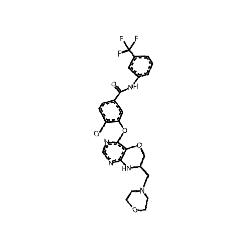 O=C(Nc1cccc(C(F)(F)F)c1)c1ccc(Cl)c(Oc2ncnc3c2OCC(CN2CCOCC2)N3)c1